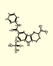 CCN(CC)C1CCc2[nH]c3ccc(C(=O)Nc4cccnc4)cc3c2C1.O=P(O)(O)O